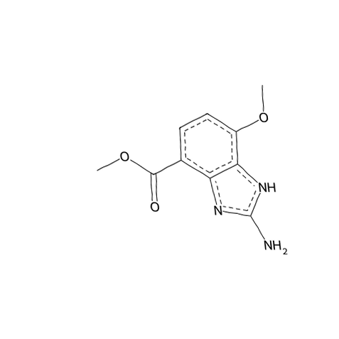 COC(=O)c1ccc(OC)c2[nH]c(N)nc12